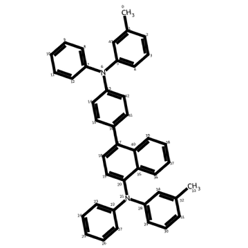 Cc1cccc(N(c2ccccc2)c2ccc(-c3ccc(N(c4ccccc4)c4cccc(C)c4)c4ccccc34)cc2)c1